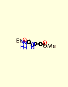 CCNC(=O)Nc1cccc(-c2cnc3cc(-c4ccc(C(=O)OC)cc4)ccn23)c1